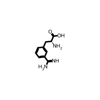 N=C(N)c1cccc(C[C@@H](N)C(=O)O)c1